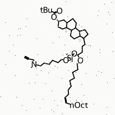 C#CCN(C)CCCCCCO[Si](C)(C)OC(CC[C@@H](C)C1CCC2C3CCC4C[C@H](OC(=O)C(C)(C)C)CC[C@]4(C)C3CC[C@@]21C)OCCCCCCCC/C=C\CCCCCCCC